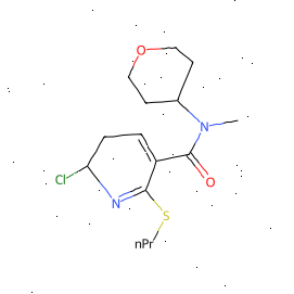 CCCSC1=NC(Cl)CC=C1C(=O)N(C)C1CCOCC1